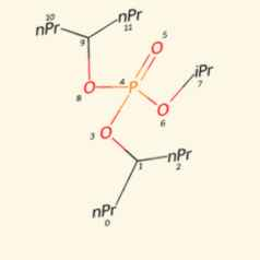 CCCC(CCC)OP(=O)(OC(C)C)OC(CCC)CCC